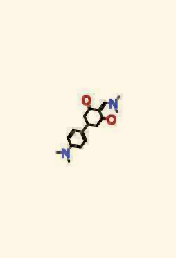 CN(C)C=C1C(=O)CC(c2ccc(N(C)C)cc2)CC1=O